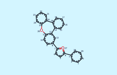 c1ccc(-c2ccc(-c3ccc4c(c3)-c3ccccc3-c3ccccc3O4)o2)cc1